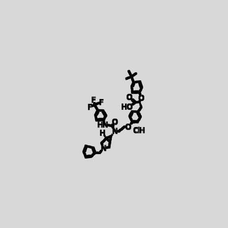 CC(C)(C)c1ccc(O[C@@H](Cc2ccc(OCCN(C(=O)Nc3ccc(C(F)(F)F)cc3)[C@@H]3C4CN(Cc5ccccc5)C[C@H]43)cc2)C(=O)O)cc1.Cl